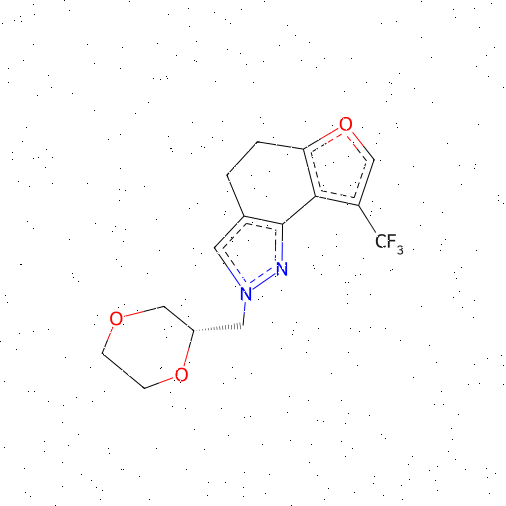 FC(F)(F)c1coc2c1-c1nn(C[C@H]3COCCO3)cc1CC2